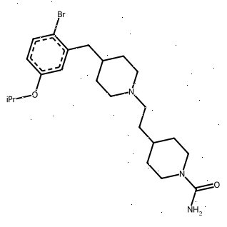 CC(C)Oc1ccc(Br)c(CC2CCN(CCC3CCN(C(N)=O)CC3)CC2)c1